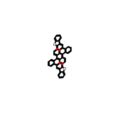 C1=CC(c2c3ccccc3c(-c3ccccc3-c3ccc4oc5ccccc5c4c3)c3ccccc23)=C(c2ccc3oc4ccccc4c3c2)CC1